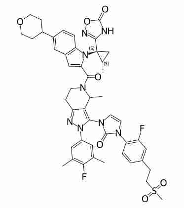 Cc1cc(-n2nc3c(c2-n2ccn(-c4ccc(CCS(C)(=O)=O)cc4F)c2=O)C(C)N(C(=O)c2cc4cc(C5CCOCC5)ccc4n2[C@@]2(c4noc(=O)[nH]4)C[C@@H]2C)CC3)cc(C)c1F